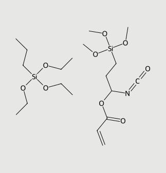 C=CC(=O)OC(CC[Si](OC)(OC)OC)N=C=O.CCC[Si](OCC)(OCC)OCC